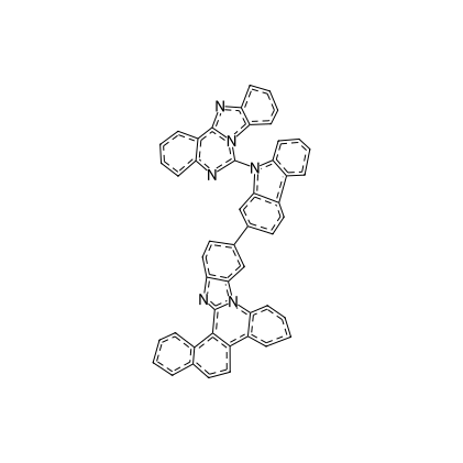 c1ccc2c(c1)ccc1c3ccccc3n3c4cc(-c5ccc6c7ccccc7n(-c7nc8ccccc8c8nc9ccccc9n78)c6c5)ccc4nc3c21